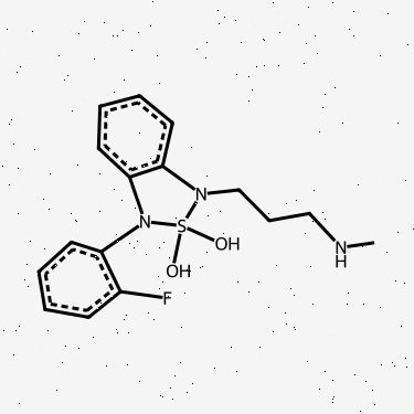 CNCCCN1c2ccccc2N(c2ccccc2F)S1(O)O